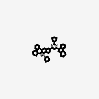 c1ccc(-c2nc(-c3ccc4c(c3)cc(-c3ccccc3)c3c(-c5ccccc5)nn(-c5ccccc5)c34)cc(-c3cc4ccccc4c4ccccc34)n2)cc1